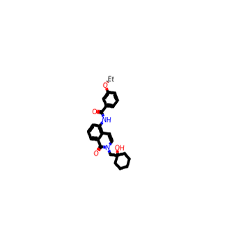 CCOc1cccc(C(=O)Nc2cccc3c(=O)n(CC4(O)CCCCC4)ccc23)c1